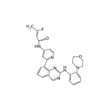 C/C(F)=C/C(=O)Nc1ccnc(-c2cccc3cnc(Nc4ccccc4N4CCOCC4)nc23)c1